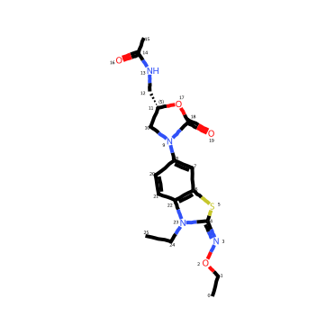 CCON=c1sc2cc(N3C[C@H](CNC(C)=O)OC3=O)ccc2n1CC